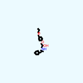 C=CCOCc1ccc(OCC(O)CNC(C)(C)Cc2ccccc2)cc1